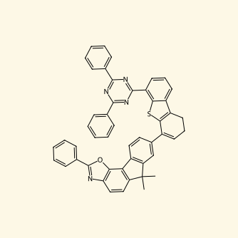 CC1(C)c2cc(C3=CCCc4c3sc3c(-c5nc(-c6ccccc6)nc(-c6ccccc6)n5)cccc43)ccc2-c2c1ccc1nc(-c3ccccc3)oc21